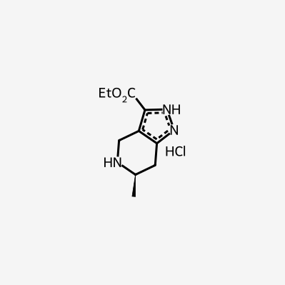 CCOC(=O)c1[nH]nc2c1CN[C@H](C)C2.Cl